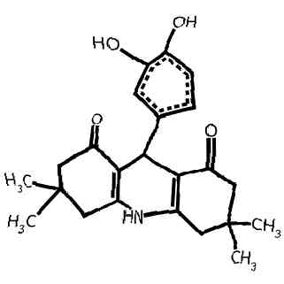 CC1(C)CC(=O)C2=C(C1)NC1=C(C(=O)CC(C)(C)C1)C2c1ccc(O)c(O)c1